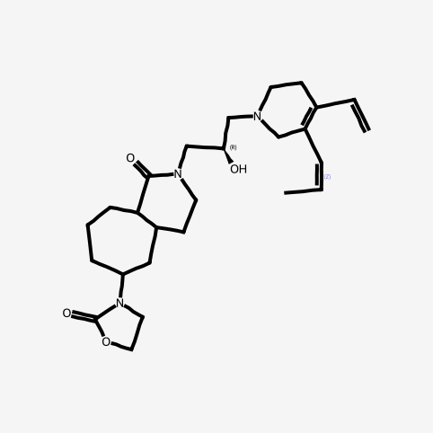 C=CC1=C(/C=C\C)CN(C[C@@H](O)CN2CCC3CC(N4CCOC4=O)CCCC3C2=O)CC1